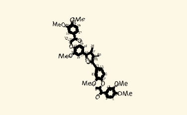 COc1ccc(C(=O)C(C)Oc2ccc(C3OC(c4ccc(O[C@H](C)C(=O)c5ccc(OC)c(OC)c5)c(OC)c4)C(C)[C@H]3C)cc2OC)cc1OC